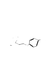 CCO[Si](CCNc1ccc(C)cc1)(OCC)OCC